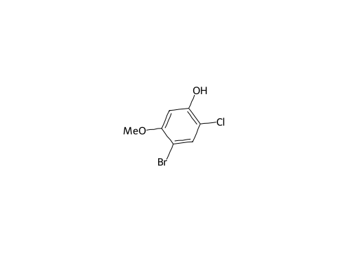 COc1cc(O)c(Cl)cc1Br